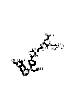 C#CCN(c1ccc(C(=O)N[C@@H](CCC(=O)N[C@H](CCC(=O)O)C(=O)NCC[Si](C)(C)O)C(=O)O)cc1)[C@H]1CCc2cc3nc(CO)[nH]c(=O)c3cc21